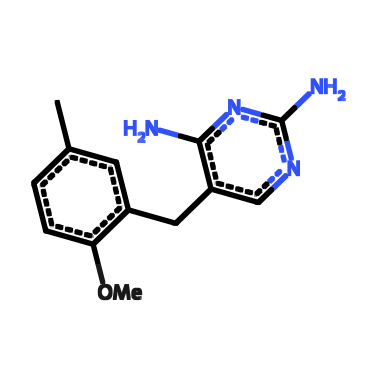 COc1ccc(C)cc1Cc1cnc(N)nc1N